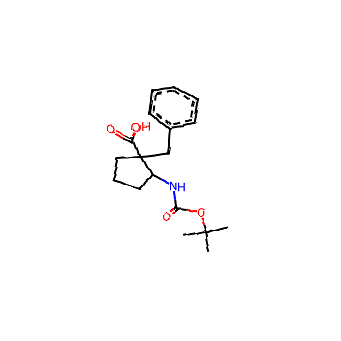 CC(C)(C)OC(=O)NC1CCCC1(Cc1ccccc1)C(=O)O